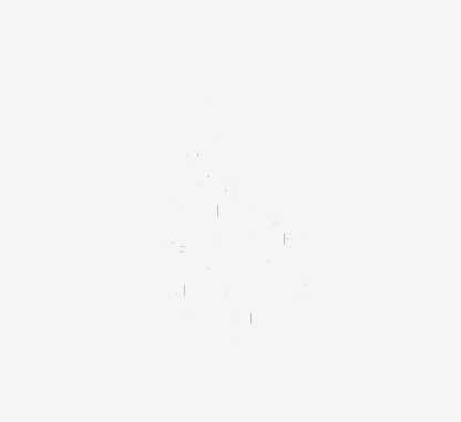 CCCOC(=O)C(C)=CC1(F)C(F)(F)C(F)(F)C(F)(F)C(F)(F)C1(F)F